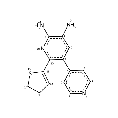 Nc1cc(-c2ccncc2)c(C2=CCCS2)nc1N